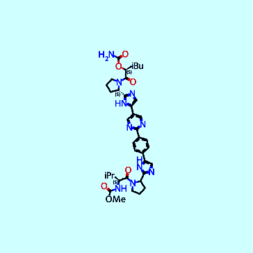 CCC(C)[C@H](OC(N)=O)C(=O)N1CCC[C@H]1c1ncc(-c2cnc(-c3ccc(-c4cnc(C5CCCN5C(=O)[C@@H](NC(=O)OC)C(C)C)[nH]4)cc3)nc2)[nH]1